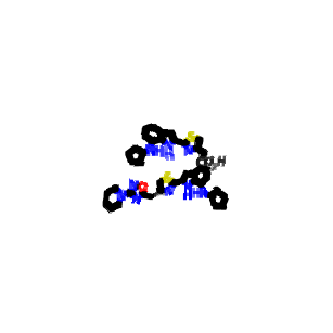 O=C(O)CC1CSC(c2cc3cccc(NC4CCCC4)c3[nH]2)=N1.c1cc(NC2CCCC2)c2[nH]c(C3=N[C@H](Cc4nc(N5CCCCC5)no4)CS3)cc2c1